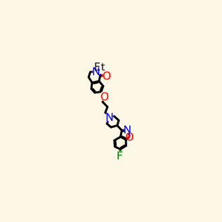 CCN1CCc2ccc(OCCCN3CCC(c4noc5cc(F)ccc45)CC3)cc2C1=O